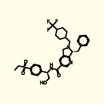 CCS(=O)(=O)c1ccc([C@H](CO)NC(=O)c2cnc3c(c2)CN(CC2CCC(C(F)(F)F)CC2)[C@@H]3Cc2ccccc2)cc1